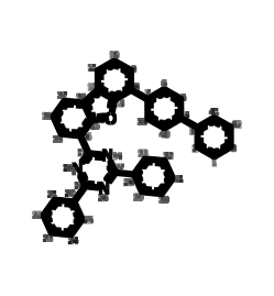 c1ccc(-c2ccc(-c3cccc4c3oc3c(-c5nc(-c6ccccc6)nc(-c6ccccc6)n5)cccc34)cc2)cc1